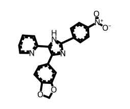 O=[N+]([O-])c1ccc(-c2nc(-c3ccc4c(c3)OCO4)c(-c3ccccn3)[nH]2)cc1